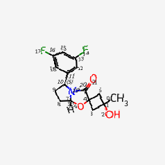 CC1(O)CC2(C1)O[C@@H]1CC[C@@H](c3cc(F)cc(F)c3)N1C2=O